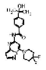 CC(C)(O)c1ccc(C(=O)Nc2cc(N3CCC(F)(F)CC3)n3nccc3n2)cc1